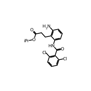 CC(C)OC(=O)CCc1c(N)cccc1NC(=O)c1c(Cl)cccc1Cl